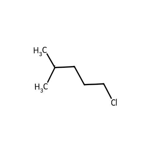 C[C](C)CCCCl